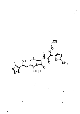 Cn1nnnc1C(S)=CC1=C(C(=O)O)N2C(=O)C(NC(=O)C(=NOCC#N)c3csc(N)n3)C2SC1